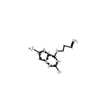 C=CCCOc1nc(Cl)nn2cc(C)nc12